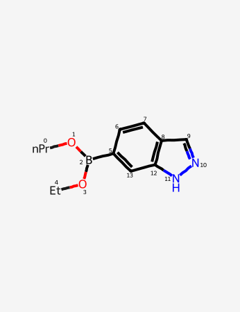 CCCOB(OCC)c1ccc2cn[nH]c2c1